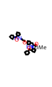 COC(=O)C(Cc1ccc(OCCCNc2ccccc2C(=O)C2CCCCC2)cc1)Nc1ccccc1C(=O)c1ccccc1